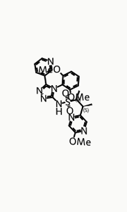 COc1cnc([C@H](C)[C@H](C)S(=O)(=O)Nc2nnc(-c3cccnc3)n2-c2c(OC)cccc2OC)cn1